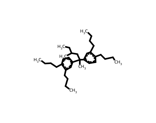 CCCCc1ccc(C(C)([CH]C(C)CC)c2ccc(CCCC)c(CCCC)c2)cc1CCCC